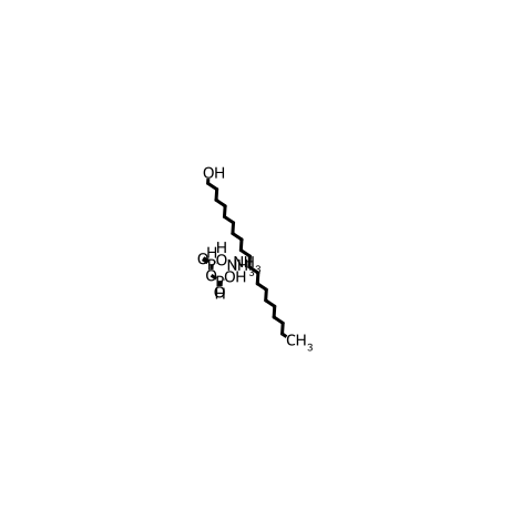 CCCCCCCCCCCCCCCCCCCCO.N.N.O=[PH](O)O[PH](=O)O